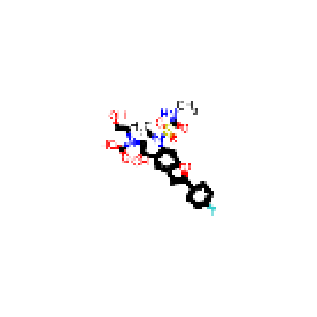 CCN(c1cc2oc(-c3ccc(F)cc3)cc2cc1C(O)CN(CCO)C(=O)O)S(=O)(=O)C(=O)NC